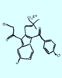 CCOC(=O)C(C)(C)Cc1c(C(=O)CC(C)(C)C)c2cc(C(C)C)ccn2c1C(=O)c1ccc(Cl)cc1